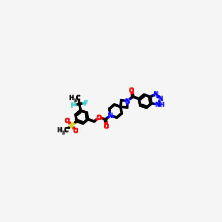 CC(F)(F)c1cc(COC(=O)N2CCC3(CC2)CN(C(=O)c2ccc4[nH]nnc4c2)C3)cc(S(C)(=O)=O)c1